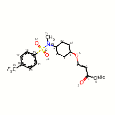 COC(=O)CCOC1CCC(N(C)S(=O)(=O)c2ccc(C(F)(F)F)cc2)CC1